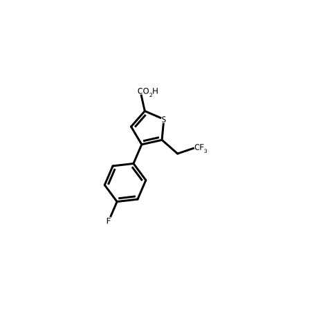 O=C(O)c1cc(-c2ccc(F)cc2)c(CC(F)(F)F)s1